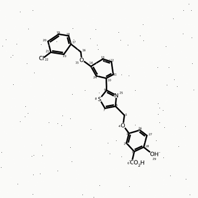 O=C(O)c1cc(OCc2csc(-c3cccc(OCc4cccc(Cl)c4)c3)n2)ccc1O